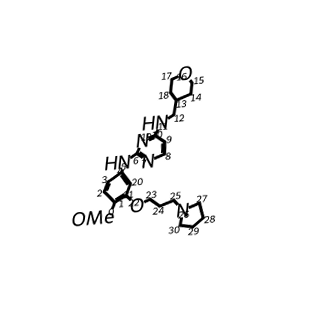 COc1ccc(Nc2nccc(NCC3CCOCC3)n2)cc1OCCCN1CCCC1